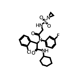 O=C(NC1CCCCC1)C(c1ccccc1Cl)N(C(=O)CNS(=O)(=O)N1CC1)c1cccc(F)c1